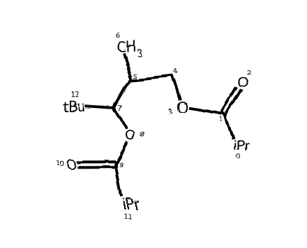 CC(C)C(=O)OCC(C)C(OC(=O)C(C)C)C(C)(C)C